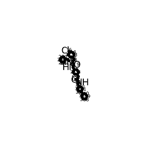 O=C(Cc1ccc(NC(=O)/C(=C/c2ccc(Cl)cc2)NCc2ccccc2)cc1)NCc1ccc(-c2ccccc2)cc1